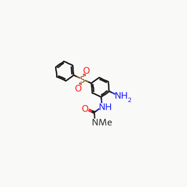 CNC(=O)Nc1cc(S(=O)(=O)c2ccccc2)ccc1N